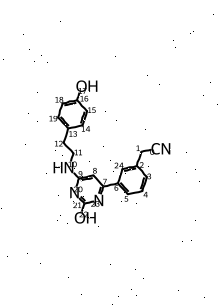 N#CCc1cccc(-c2cc(NCCc3ccc(O)cc3)nc(O)n2)c1